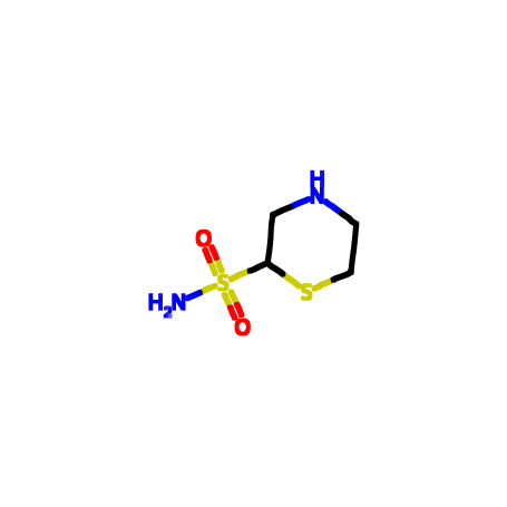 NS(=O)(=O)C1CNCCS1